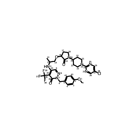 COc1ccc(Cn2ncc(NC(C)COC3CCN(C4CCN(c5ncc(Cl)cn5)CC4)C3=O)c(C(F)(F)F)c2=O)cc1